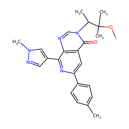 Cc1ccc(-c2cc3c(=O)n(C(C)C(C)(C)OI)cnc3c(-c3cnn(C)c3)n2)cc1